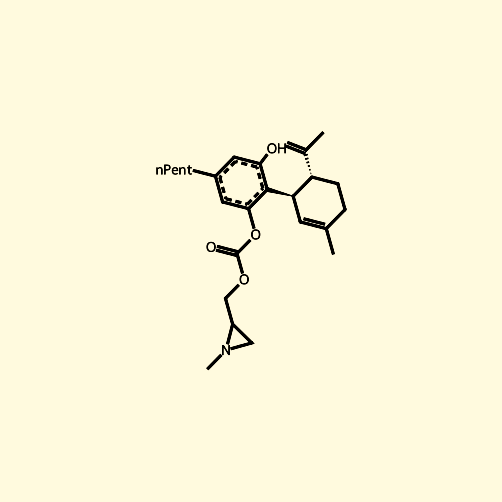 C=C(C)[C@@H]1CCC(C)=C[C@H]1c1c(O)cc(CCCCC)cc1OC(=O)OCC1CN1C